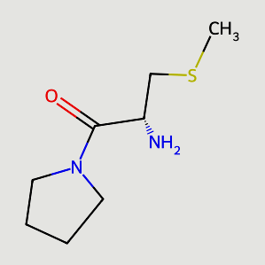 CSC[C@H](N)C(=O)N1CCCC1